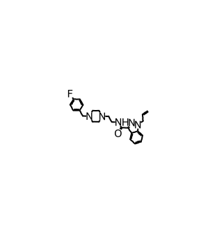 C=CCn1nc(C(=O)NCCN2CCN(Cc3ccc(F)cc3)CC2)c2ccccc21